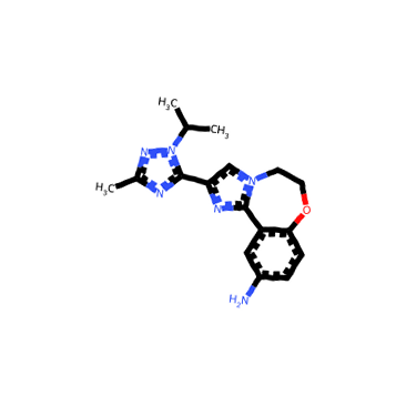 Cc1nc(-c2cn3c(n2)-c2cc(N)ccc2OCC3)n(C(C)C)n1